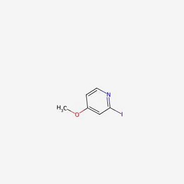 COc1ccnc(I)c1